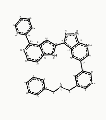 c1ccc(CNCc2cncc(-c3cnc4[nH]nc(-c5cc6c(-c7ccccn7)nccc6[nH]5)c4c3)c2)cc1